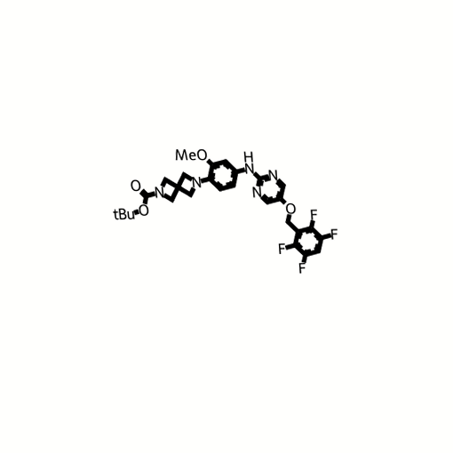 COc1cc(Nc2ncc(OCc3c(F)c(F)cc(F)c3F)cn2)ccc1N1CC2(CN(C(=O)OC(C)(C)C)C2)C1